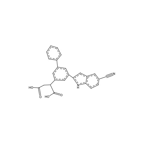 N#Cc1ccc2[nH]c(-c3cc(-c4ccccc4)cc(C(CC(=O)O)C(=O)O)c3)cc2c1